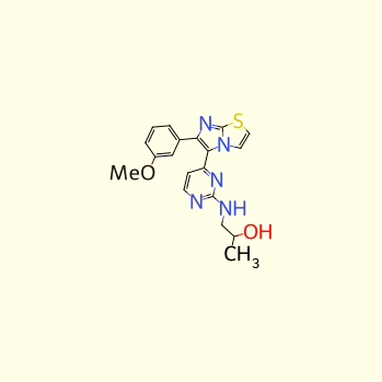 COc1cccc(-c2nc3sccn3c2-c2ccnc(NCC(C)O)n2)c1